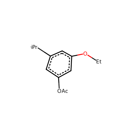 CCOc1cc(OC(C)=O)cc([C](C)C)c1